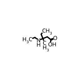 CCNC(C)(CC)CC(=O)O